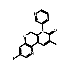 Cc1cc2c(n(-c3cccnc3)c1=O)COc1cc(F)cnc1-2